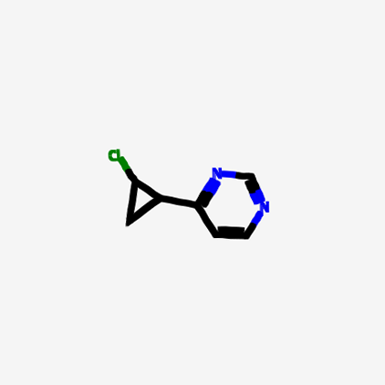 ClC1CC1c1ccncn1